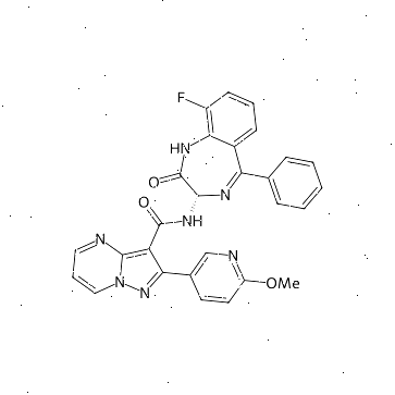 COc1ccc(-c2nn3cccnc3c2C(=O)N[C@H]2N=C(c3ccccc3)c3cccc(F)c3NC2=O)cn1